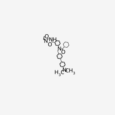 CN(C)c1ccc(-c2ccc(CN(C(=O)C3CCCCC3)c3cccc(C(=O)Nc4ncco4)c3)cc2)cc1